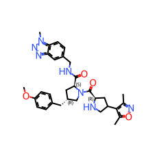 COc1ccc(C[C@@H]2C[C@@H](C(=O)NCc3ccc4c(c3)nnn4C)N(C(=O)[C@H]3CC(c4c(C)noc4C)CN3)C2)cc1